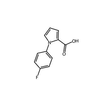 O=C(O)c1cccn1-c1ccc(F)cc1